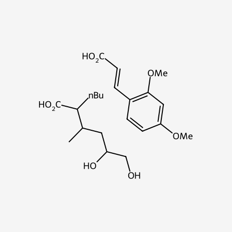 CCCCC(C(=O)O)C(C)CC(O)CO.COc1ccc(C=CC(=O)O)c(OC)c1